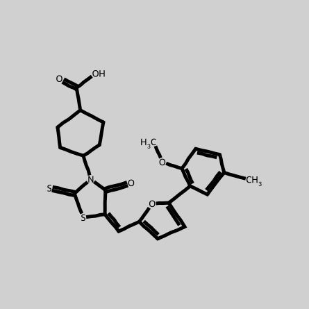 COc1ccc(C)cc1-c1ccc(C=C2SC(=S)N(C3CCC(C(=O)O)CC3)C2=O)o1